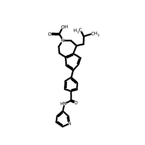 CC(C)CC1CN(C(=O)O)CCc2cc(-c3ccc(C(=O)Nc4cccnc4)cc3)ccc21